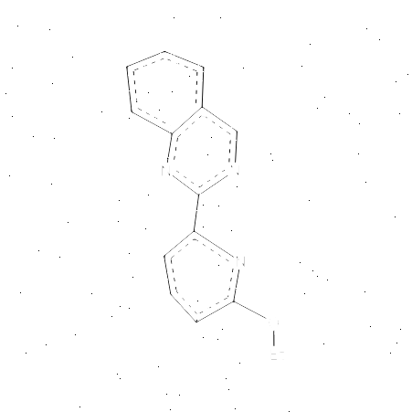 CCOc1cccc(-c2ncc3ccccc3n2)n1